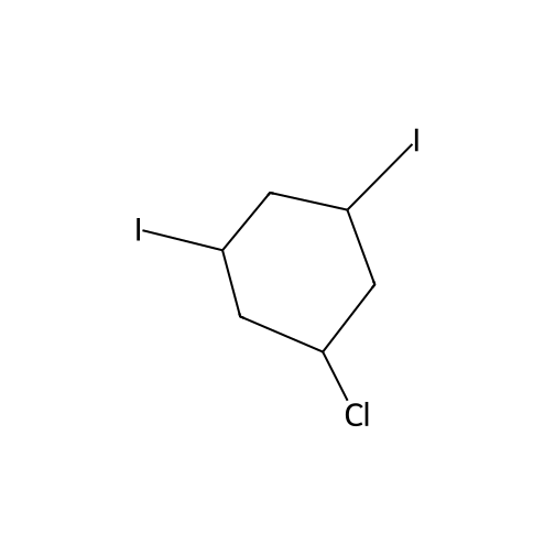 ClC1CC(I)CC(I)C1